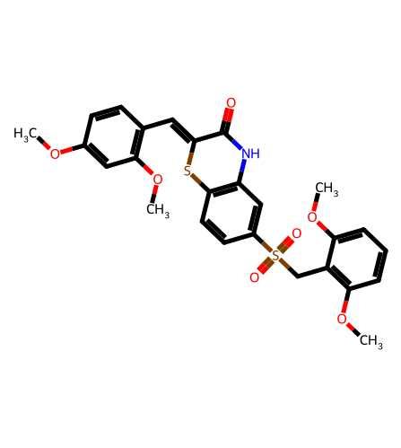 COc1ccc(/C=C2\Sc3ccc(S(=O)(=O)Cc4c(OC)cccc4OC)cc3NC2=O)c(OC)c1